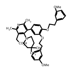 COc1cccc(CCOc2ccc(-c3c(C)nc(C)c(CC(=O)O)c3N3CCC(C)(C)CC3)cc2OCCc2cccc(OC)c2)c1